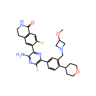 COC1CN(Cc2cc(-c3nc(-c4cc5c(cc4F)C(=O)NCC5)c(N)nc3F)ccc2C2CCOCC2)C1